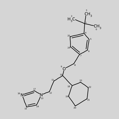 CC(C)(C)c1ccc(COC(CCn2ccnc2)C2CCCCC2)cc1